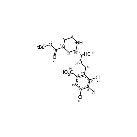 CC(C)(C)OC(=O)N1CCN[C@H](COCc2c(C(=O)O)cc(Cl)c(I)c2Cl)C1.Cl